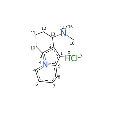 Cc1c2c(n3ccccc13)CCCC2N(C)C.Cl